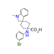 CN1CC2(CCC(Nc3cccc(Br)c3)(C(=O)O)CC2)c2ccccc21